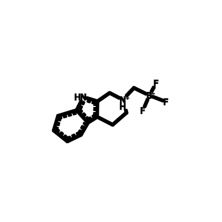 F[B-](F)(F)C[NH+]1CCc2c([nH]c3ccccc23)C1